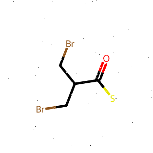 O=C([S])C(CBr)CBr